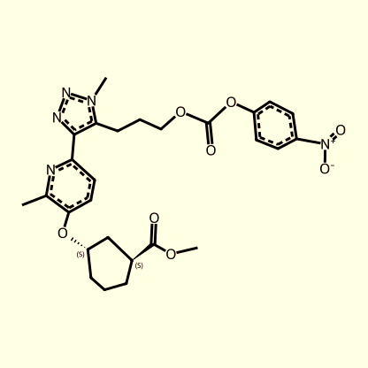 COC(=O)[C@H]1CCC[C@H](Oc2ccc(-c3nnn(C)c3CCCOC(=O)Oc3ccc([N+](=O)[O-])cc3)nc2C)C1